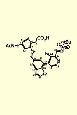 CC(=O)Nc1ccc(CC(=O)O)c(OCc2cc(-c3ccnc(C=NS(=O)(=O)C(C)(C)C)c3F)c3occc3c2)c1